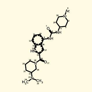 CC(=O)N1CCC(NC(=O)Nc2cccc3[nH]c(C(=O)N4CCCC(N(C)C)C4)cc23)CC1